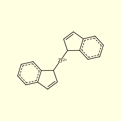 C1=C[CH]([Zr+2][CH]2C=Cc3ccccc32)c2ccccc21